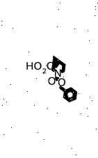 O=C(O)CC12CCN(C(=O)OCc3ccccc3)CC1C2